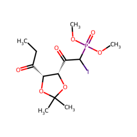 CCC(=O)[C@H]1OC(C)(C)O[C@H]1C(=O)C(I)P(=O)(OC)OC